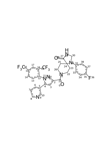 O=C(c1cc(-c2cccnc2)n(-c2ccc(C(F)(F)F)cc2C(F)(F)F)n1)N1CCC2(CC1)C(=O)NCN2c1ccc(F)cc1